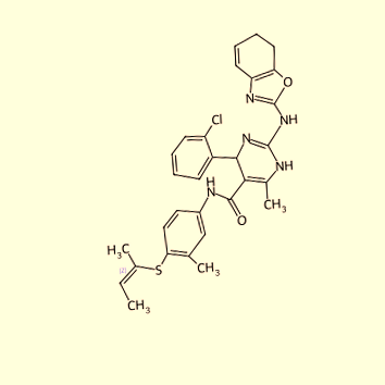 C/C=C(/C)Sc1ccc(NC(=O)C2=C(C)NC(Nc3nc4c(o3)CCC=C4)=NC2c2ccccc2Cl)cc1C